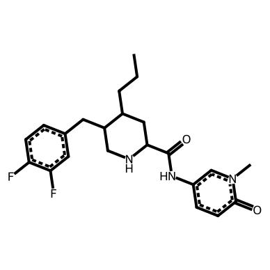 CCCC1CC(C(=O)Nc2ccc(=O)n(C)c2)NCC1Cc1ccc(F)c(F)c1